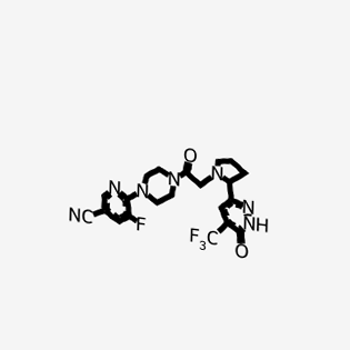 N#Cc1cnc(N2CCN(C(=O)CN3CCCC3c3cc(C(F)(F)F)c(=O)[nH]n3)CC2)c(F)c1